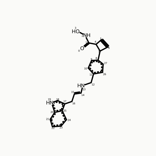 O=C(NO)C1C#CC1c1ccc(CNC=CCc2c[nH]c3ccccc23)cc1